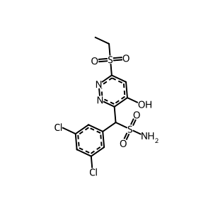 CCS(=O)(=O)c1cc(O)c(C(c2cc(Cl)cc(Cl)c2)S(N)(=O)=O)nn1